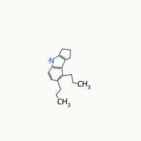 CCCc1ccc2c(c1CCC)C1=C(CCC1)[N]2